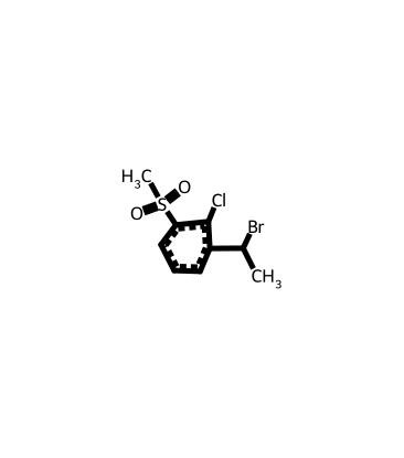 CC(Br)c1cccc(S(C)(=O)=O)c1Cl